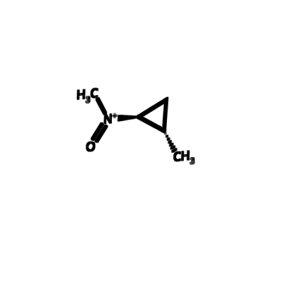 C[C@H]1C[C@@H]1[N+](C)=O